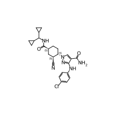 N#C[C@H]1C[C@@H](C(=O)NC(C2CC2)C2CC2)CC[C@@H]1n1cc(C(N)=O)c(Nc2ccc(Cl)cc2)n1